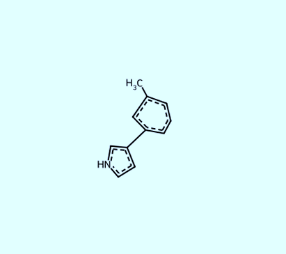 Cc1cccc(-c2cc[nH]c2)c1